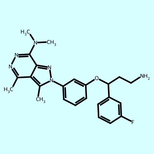 Cc1nnc(N(C)C)c2nn(-c3cccc(OC(CCN)c4cccc(F)c4)c3)c(C)c12